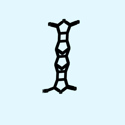 O=C1OC(=O)C2C1C1C3CC(C4C5CC(C34)C3C4C(=O)OC(O)C4C53)C21